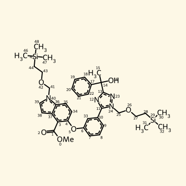 COC(=O)c1c(Oc2cccc(-c3nc(C(C)(O)c4ccccc4)nn3COCC[Si](C)(C)C)c2)ccc2c1ccn2COCC[Si](C)(C)C